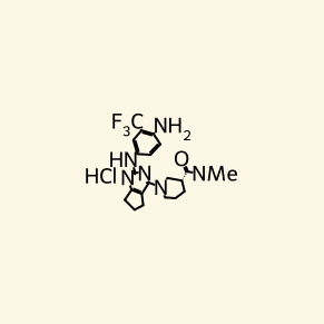 CNC(=O)[C@@H]1CCCN(c2nc(Nc3ccc(N)c(C(F)(F)F)c3)nc3c2CCC3)C1.Cl